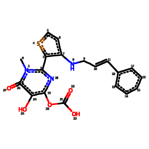 Cn1c(-c2sccc2NC/C=C/c2ccccc2)nc(OC(=O)O)c(O)c1=O